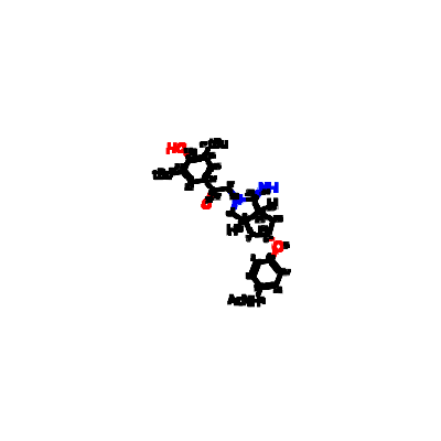 CC(=O)Nc1ccc(O[C@@H]2C[C@H]3CN(CC(=O)c4cc(C(C)(C)C)c(O)c(C(C)(C)C)c4)C(=N)[C@H]3C2)cc1